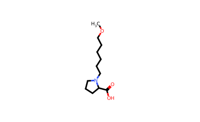 COCCCCCCN1CCCC1C(=O)O